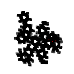 Cc1cc2c(cc1N1c3cc(C(C)(C)C)ccc3B3c4cc5c(cc4N(c4ccc(C(C)(C)C)cc4-c4ccccc4)c4cc(N6c7ccc(-c8ccccc8)cc7C7(C)CCCCC67C)cc1c43)C(C)(C)CCC5(C)C)C(C)(C)CCC2(C)C